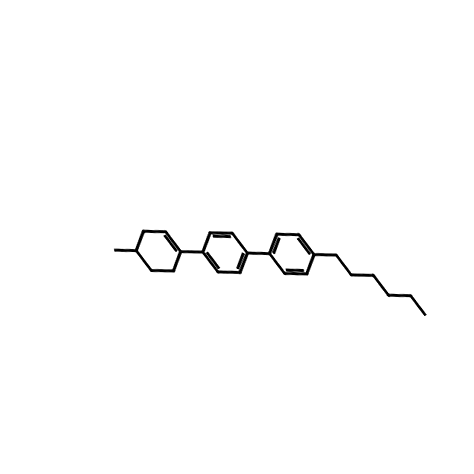 CCCCCCc1ccc(-c2ccc(C3=CCC(C)CC3)cc2)cc1